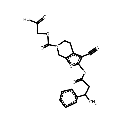 CC(CC(=O)Nc1sc2c(c1C#N)CCN(C(=O)OCC(=O)O)C2)c1ccccc1